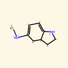 CCNC1=CC=C2NCCC2C1